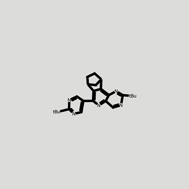 CC(C)(C)c1ncc(-c2nc3cnc(C(C)(C)C)nc3c3c2C2CCC3C2)cn1